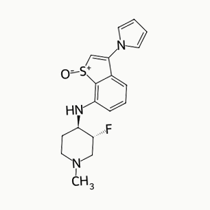 CN1CC[C@@H](Nc2cccc3c(-n4cccc4)c[s+]([O-])c23)[C@H](F)C1